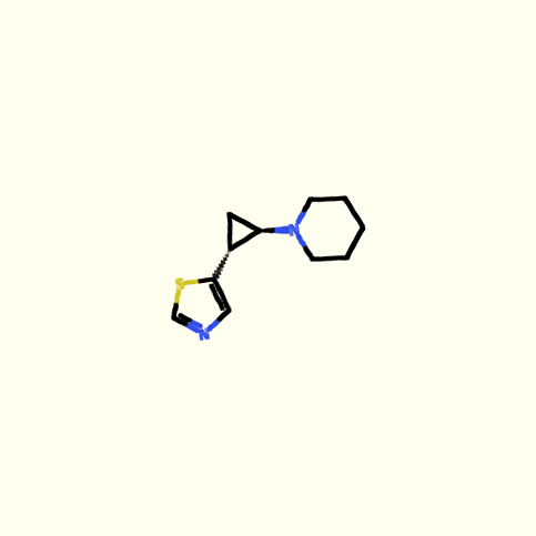 c1ncc([C@@H]2C[C@H]2N2CCCCC2)s1